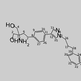 NC(CO)(CO)CCc1ccc(-c2cnn(CCCc3ccccc3)c2)cc1